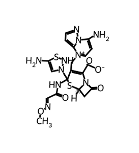 CON=CC(=O)NC1(N2C=C(N)SN2)S[C@H]2CC(=O)N2C(C(=O)[O-])=C1C[n+]1ccc(N)n2nccc21